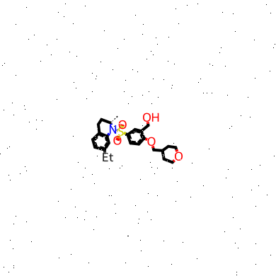 CCc1ccc2c(c1)N(S(=O)(=O)c1ccc(OCC3CCOCC3)c(CO)c1)[C@@H](C)CC2